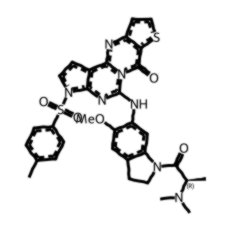 COc1cc2c(cc1Nc1nc3c(ccn3S(=O)(=O)c3ccc(C)cc3)c3nc4ccsc4c(=O)n13)N(C(=O)[C@@H](C)N(C)C)CC2